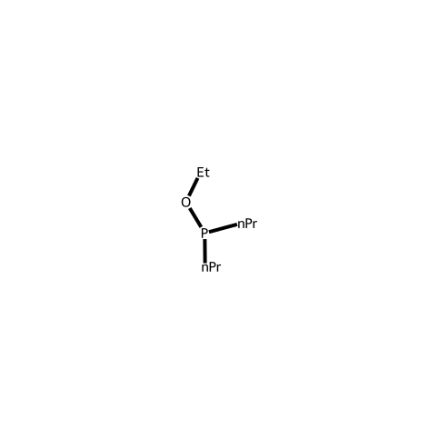 CCCP(CCC)OCC